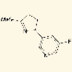 CSC1=NC(c2cncc(F)c2)CC1